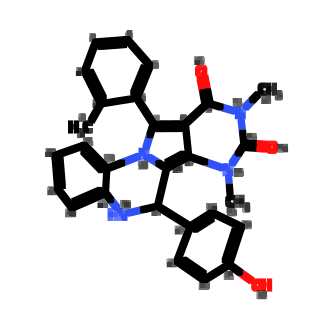 Cc1ccccc1-c1c2c(=O)n(C)c(=O)n(C)c2c2n1-c1ccccc1NC2c1ccc(O)cc1